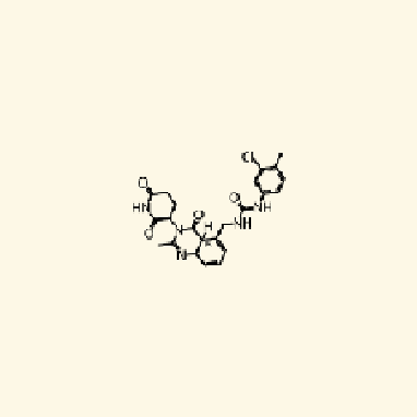 CC1=NC2C=CC=C(CNC(=O)Nc3ccc(C)c(Cl)c3)[C@H]2C(=O)N1C1CCC(=O)NC1=O